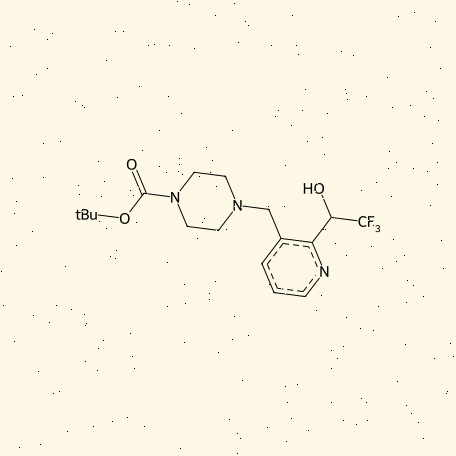 CC(C)(C)OC(=O)N1CCN(Cc2cccnc2C(O)C(F)(F)F)CC1